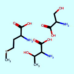 CC(O)C(N)C(=O)O.CSCCC(N)C(=O)O.NC(CO)C(=O)O